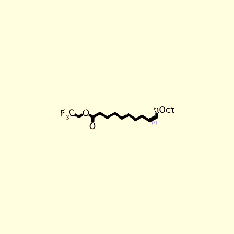 CCCCCCCC/C=C\CCCCCCCC(=O)OCC(F)(F)F